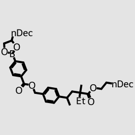 CCCCCCCCCCCCOC(=O)C(C)(CC)CC(C)c1ccc(COC(=O)c2ccc(B3OCC(CCCCCCCCCC)O3)cc2)cc1